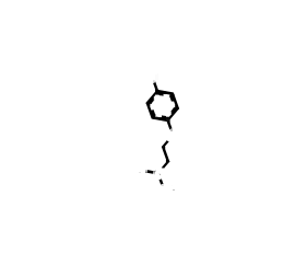 CCCCN(CCCC)CCOc1ccc(O)cc1